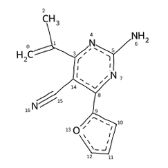 C=C(C)c1nc(N)nc(-c2ccco2)c1C#N